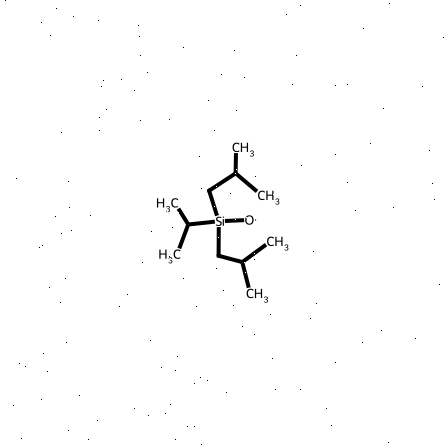 CC(C)C[Si]([O])(CC(C)C)C(C)C